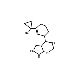 N#CC1(C2=CC(C3NCNC4NNCC43)CCC2)CC1